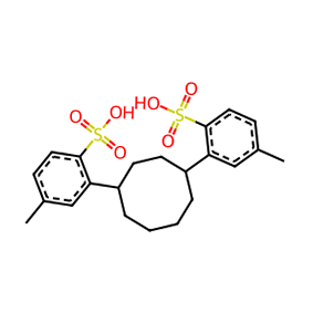 Cc1ccc(S(=O)(=O)O)c(C2CCCCC(c3cc(C)ccc3S(=O)(=O)O)CC2)c1